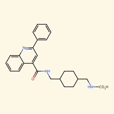 O=C(O)NCC1CCC(CNC(=O)c2cc(-c3ccccc3)nc3ccccc23)CC1